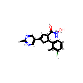 Cc1ncc(C2=CC(C(=O)NO)C(c3cccc(F)c3C)C2)cn1